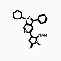 CNC1C(c2cc3c(-c4ccccc4)nn(C4CCCCO4)c3cn2)CC(=O)N1C